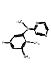 Cc1c(N)cc(F)cc1N(C)c1cnccn1